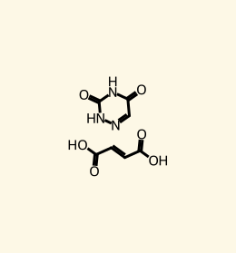 O=C(O)/C=C/C(=O)O.O=c1cn[nH]c(=O)[nH]1